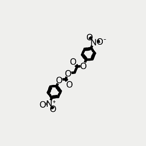 O=C(COC(=O)Oc1ccc([N+](=O)[O-])cc1)Oc1ccc([N+](=O)[O-])cc1